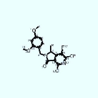 COc1ccc(CN2C(=O)c3c(Cl)nc(Cl)c(F)c3C2C)c(OC)c1